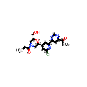 C=CC(=O)N1C[C@H](CO)O[C@@H](c2cc(Cl)nc(-c3cc(C(=O)NC)ncn3)c2)C1